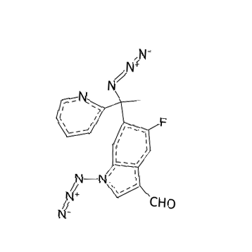 CC(N=[N+]=[N-])(c1ccccn1)c1cc2c(cc1F)c(C=O)cn2N=[N+]=[N-]